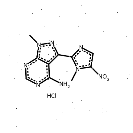 Cl.Cn1c([N+](=O)[O-])cnc1-c1nn(C)c2ncnc(N)c12